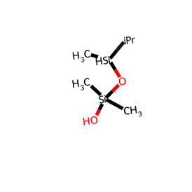 CC(C)[SiH](C)O[Si](C)(C)O